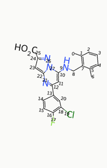 Cc1cccc(C)c1CNc1cc(-c2ccc(F)c(Cl)c2)nc2cc(C(=O)O)nn12